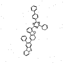 C1=CCCC(c2nc(-c3ccc(-c4ccccc4)cc3)nc(-c3cccc4c5c(oc34)CCC(c3cc4c(cc3-c3ccccc3)C3C=CC=CC3S4)=C5)n2)=C1